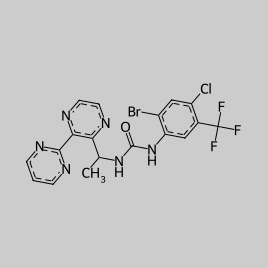 CC(NC(=O)Nc1cc(C(F)(F)F)c(Cl)cc1Br)c1nccnc1-c1ncccn1